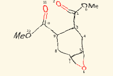 COC(=O)C1CC2OC2CC1C(=O)OC